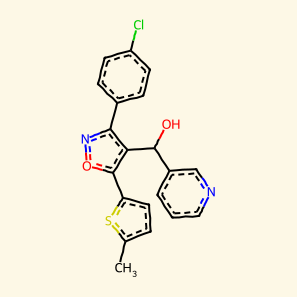 Cc1ccc(-c2onc(-c3ccc(Cl)cc3)c2C(O)c2cccnc2)s1